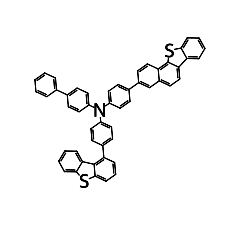 c1ccc(-c2ccc(N(c3ccc(-c4ccc5c(ccc6c7ccccc7sc56)c4)cc3)c3ccc(-c4cccc5sc6ccccc6c45)cc3)cc2)cc1